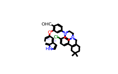 C=c1[nH]cc/c1=C/C(=C\C)Oc1cc(N2CCN(CC3=C(c4ccc(Cl)cc4)CC(C)(C)CC3)CC2)ccc1C=O